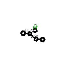 C1=[C]([Zr+2][C]2=CC(c3ccccc3)=CC2)CC=C1c1ccccc1.C1CC[SiH2]C1.[Cl-].[Cl-]